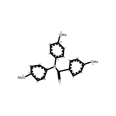 COc1ccc(C(=O)N(c2ccc(OC)cc2)c2ccc(OC)cc2)cc1